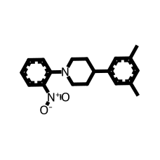 Cc1cc(C)cc(C2CCN(c3ccccc3[N+](=O)[O-])CC2)c1